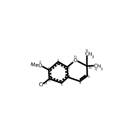 COc1cc2c(cc1Cl)C=CC(C)(C)O2